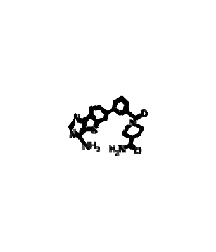 NC(=O)C1CCN(C(=O)c2cccc(-c3ccc4c(c3)sc3c(N)ncnc34)c2)CC1